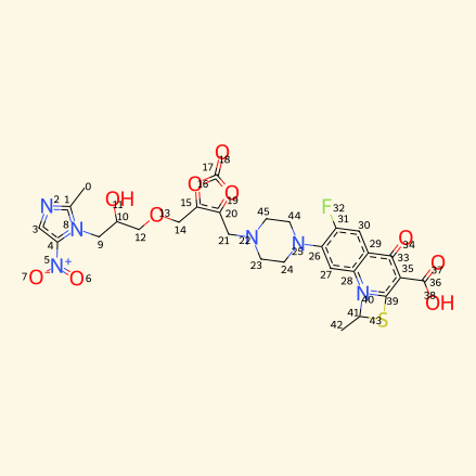 Cc1ncc([N+](=O)[O-])n1CC(O)COCc1oc(=O)oc1CN1CCN(c2cc3c(cc2F)c(=O)c(C(=O)O)c2n3C(C)S2)CC1